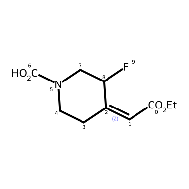 CCOC(=O)/C=C1/CCN(C(=O)O)CC1F